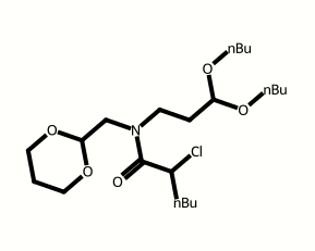 CCCCOC(CCN(CC1OCCCO1)C(=O)C(Cl)CCCC)OCCCC